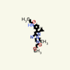 C/C=C/C(=O)Nc1cccc(-c2cc(C#N)c(N3CCN(C(=O)CCOC)[C@H](C)C3)nc2C2CC2)c1